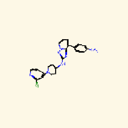 Nc1ccc(-c2cccn3nc(NC4CCN(c5ccnc(Cl)c5)CC4)nc23)cc1